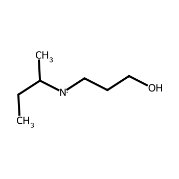 CCC(C)[N]CCCO